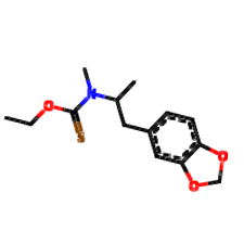 CCOC(=S)N(C)C(C)Cc1ccc2c(c1)OCO2